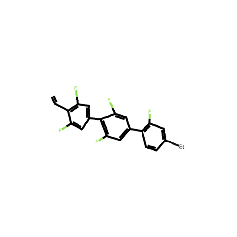 C=Cc1c(F)cc(-c2c(F)cc(-c3ccc(CC)cc3F)cc2F)cc1F